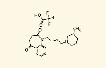 CC1CCCN(CCCCN2C(=O)CCC(=O)c3ccccc32)C1.O=C(O)C(F)(F)F